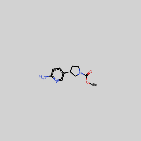 CC(C)(C)OC(=O)N1CC[C@H](c2ccc(N)nc2)C1